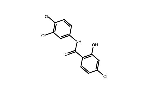 O=C(Nc1ccc(Cl)c(Cl)c1)c1ccc(Cl)cc1O